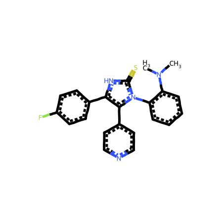 CN(C)c1ccccc1-n1c(-c2ccncc2)c(-c2ccc(F)cc2)[nH]c1=S